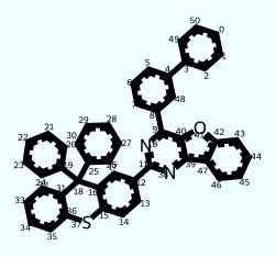 c1ccc(-c2cccc(-c3nc(-c4ccc5c(c4)C(c4ccccc4)(c4ccccc4)c4ccccc4S5)nc4c3oc3ccccc34)c2)cc1